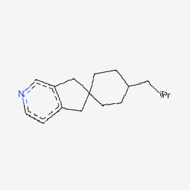 CC(C)CC1CCC2(CC1)Cc1ccncc1C2